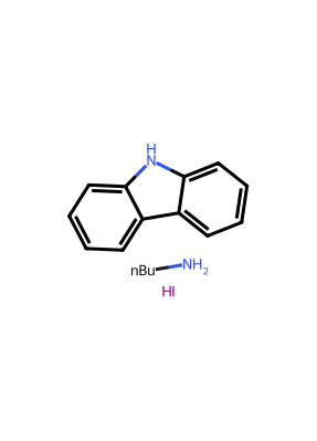 CCCCN.I.c1ccc2c(c1)[nH]c1ccccc12